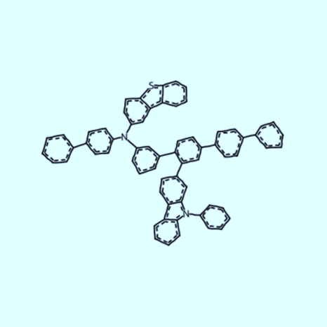 c1ccc(-c2ccc(-c3ccc(-c4cccc(N(c5ccc(-c6ccccc6)cc5)c5ccc6sc7ccccc7c6c5)c4)c(-c4ccc5c6ccccc6n(-c6ccccc6)c5c4)c3)cc2)cc1